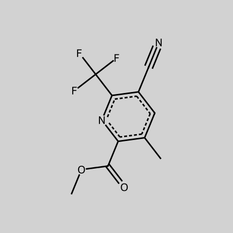 COC(=O)c1nc(C(F)(F)F)c(C#N)cc1C